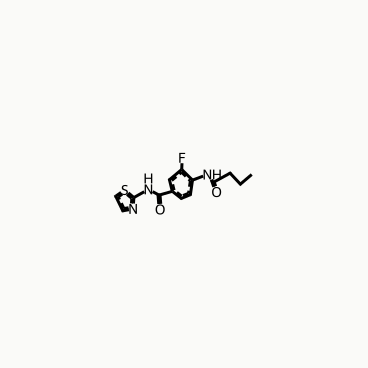 CCCC(=O)Nc1ccc(C(=O)Nc2nccs2)cc1F